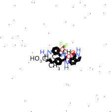 Cc1cc(C(Nc2ccc3cc[nH]c(=O)c3c2)C(=O)N(C)Cc2cc(N)ccc2OC(F)F)ccc1[C@@H](C)CCC(=O)O